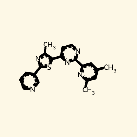 Cc1cc(C)nc(-c2nccc(-c3sc(-c4cccnc4)nc3C)n2)c1